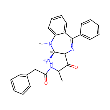 CC(NC(=O)Cc1ccccc1)C(=O)C1N=C(c2ccccc2)c2ccccc2N(C)[C@@H]1N